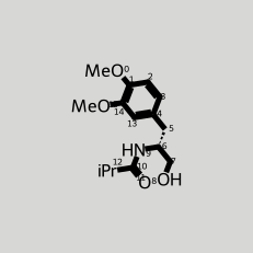 COc1ccc(C[C@H](CO)NC(=O)C(C)C)cc1OC